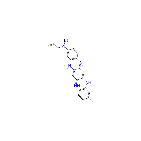 C=CCN(CC)c1ccc(/N=C2/C=C(Nc3cccc(C)c3)C(=N)C=C2N)cc1